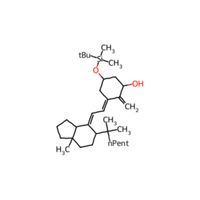 C=C1C(=CC=C2C(C(C)(C)CCCCC)CCC3(C)CCCC23)CC(O[Si](C)(C)C(C)(C)C)CC1O